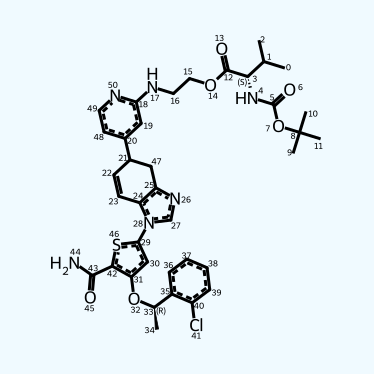 CC(C)[C@H](NC(=O)OC(C)(C)C)C(=O)OCCNc1cc(C2C=Cc3c(ncn3-c3cc(O[C@H](C)c4ccccc4Cl)c(C(N)=O)s3)C2)ccn1